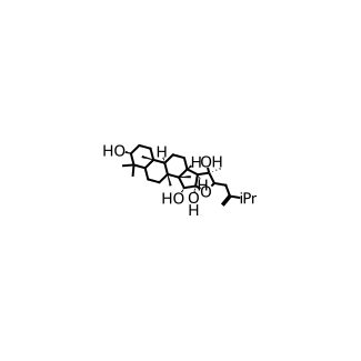 C=C(CC1O[C@]2(O)[C@@H]([C@H]3CC[C@@H]4[C@@]5(C)CC[C@H](O)C(C)(C)C5CC[C@@]4(C)[C@@]3(C)[C@H]2O)[C@@]1(C)O)C(C)C